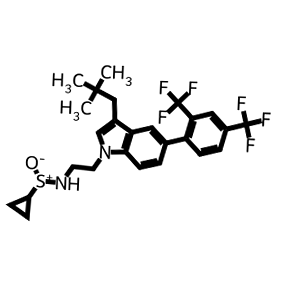 CC(C)(C)Cc1cn(CCN[S+]([O-])C2CC2)c2ccc(-c3ccc(C(F)(F)F)cc3C(F)(F)F)cc12